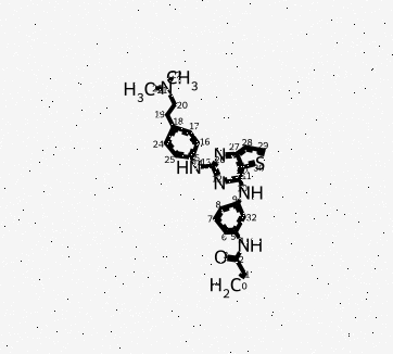 C=CC(=O)Nc1cccc(Nc2nc(Nc3ccc(CCN(C)C)cc3)nc3ccsc23)c1